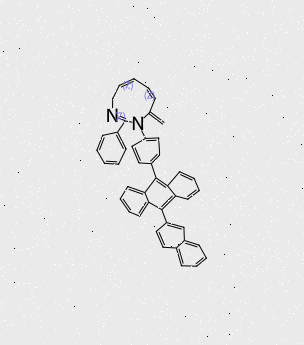 C=C1/C=C\C=C/C/N=C(/c2ccccc2)N1c1ccc(-c2c3ccccc3c(-c3ccc4ccccc4c3)c3ccccc23)cc1